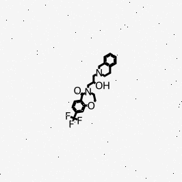 O=C1c2ccc(C(F)(F)F)cc2OCCN1CC(O)CN1CCc2ccccc2C1